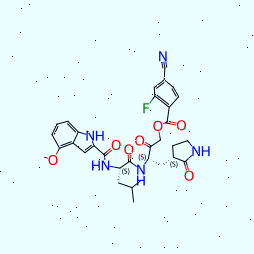 COc1cccc2[nH]c(C(=O)N[C@@H](CC(C)C)C(=O)N[C@@H](C[C@@H]3CCNC3=O)C(=O)COC(=O)c3ccc(C#N)cc3F)cc12